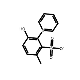 Cc1ccc(O)c(-[n+]2ccccc2)c1S(=O)(=O)[O-]